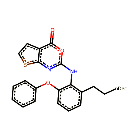 CCCCCCCCCCCCc1cccc(Oc2ccccc2)c1Nc1nc2sccc2c(=O)o1